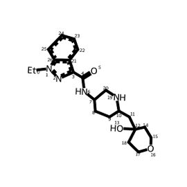 CCn1nc(C(=O)NC2CCC(CC3(O)CCOCC3)NC2)c2ccccc21